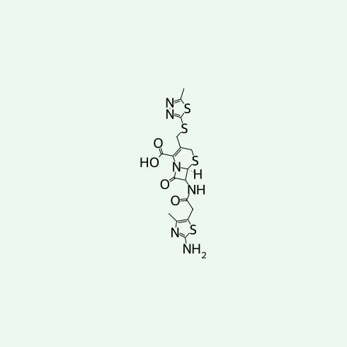 Cc1nnc(SCC2=C(C(=O)O)N3C(=O)C(NC(=O)Cc4sc(N)nc4C)[C@@H]3SC2)s1